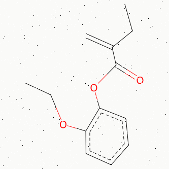 C=C(CC)C(=O)Oc1ccccc1OCC